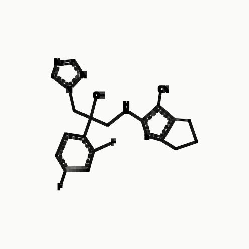 N#Cc1c(NCC(O)(Cn2cncn2)c2ccc(F)cc2F)sc2c1CCC2